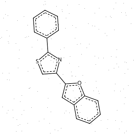 c1ccc(-c2nc(-c3cc4ccccc4o3)cs2)cc1